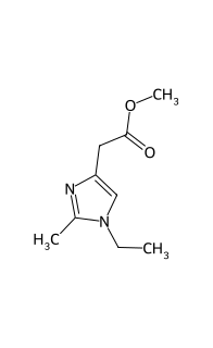 CCn1cc(CC(=O)OC)nc1C